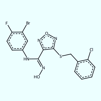 O/N=C(\Nc1ccc(F)c(Br)c1)c1nonc1SCc1ccccc1Cl